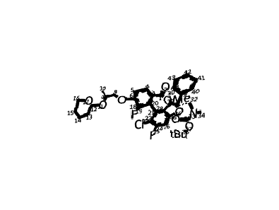 COC(=O)c1ccc(OC[C@H](C)OC2CCCCO2)c(F)c1-c1c(Cl)c(F)cc2c1[C@H](C)[C@@](CN(C)C(=O)OC(C)(C)C)(c1ccccc1)O2